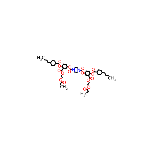 C=CC(=O)OCCOC(=O)c1cc(OC(=O)N2CCN(C(=O)Oc3ccc(OC(=O)C4CCC(CCCC)CC4)c(C(=O)OCCOC(=O)C=C)c3)CC2)ccc1OC(=O)C1CCC(CCCC)CC1